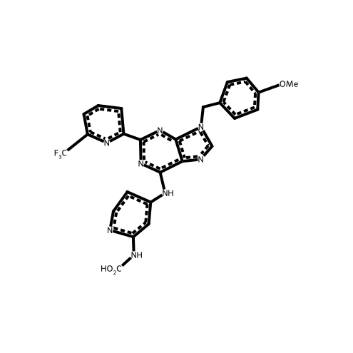 COc1ccc(Cn2cnc3c(Nc4ccnc(NC(=O)O)c4)nc(-c4cccc(C(F)(F)F)n4)nc32)cc1